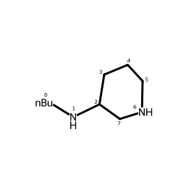 CCCCNC1CCCNC1